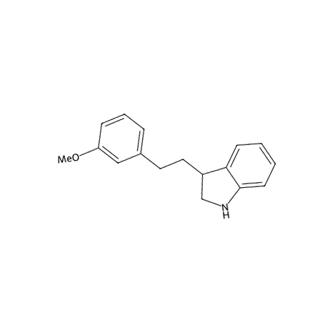 COc1cccc(CCC2CNc3ccccc32)c1